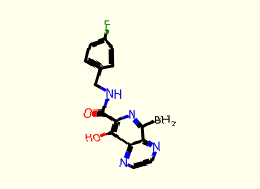 Bc1nc(C(=O)NCc2ccc(F)cc2)c(O)c2nccnc12